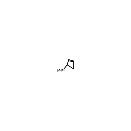 CNC1C=CC1